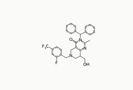 Cc1nc2c(c(=O)n1C(c1ccccc1)c1ccccc1)CN(Cc1ccc(C(F)(F)F)cc1F)CC2CO